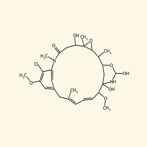 COc1cc2cc(c1Cl)N(C)C(=O)CC(O)C1(C)OC1C(C)C1CC(O)(NC(O)O1)C(OC)/C=C/C=C(\C)C2